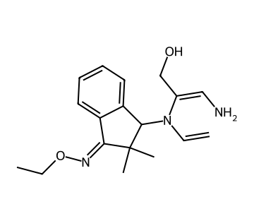 C=CN(/C(=C\N)CO)C1c2ccccc2/C(=N\OCC)C1(C)C